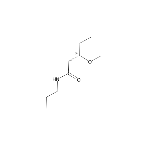 CCCNC(=O)C[C@H](CC)OC